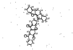 O=c1c2ccccc2oc2cc3oc4cc(-n5c6ccccc6c6ccc7c8ccccc8oc7c65)ccc4c(=O)c3cc12